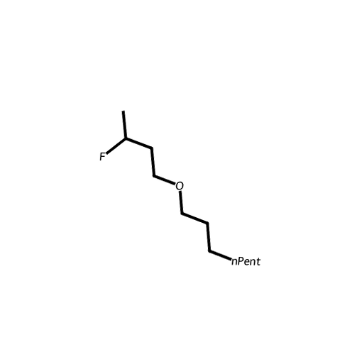 [CH2]CCCCCCCOCCC(C)F